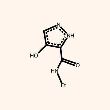 CCNC(=O)c1[nH]ncc1O